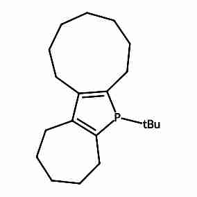 CC(C)(C)p1c2c(c3c1CCCCC3)CCCCCCC2